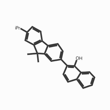 CC(C)c1ccc2c(c1)C(C)(C)c1cc(-c3ccc4ccccc4c3O)ccc1-2